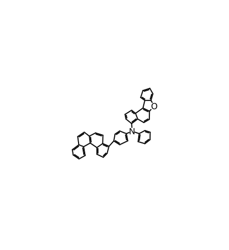 c1ccc(N(c2ccc(-c3cccc4c3ccc3ccc5ccccc5c34)cc2)c2cccc3c2ccc2oc4ccccc4c23)cc1